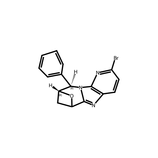 Brc1ccc2nc3n(c2n1)[C@H](c1ccccc1)[C@H]1CC3O1